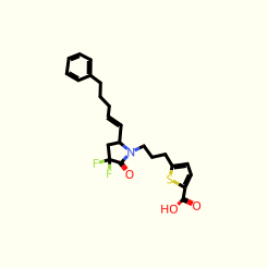 O=C(O)c1ccc(CCCN2C(=O)C(F)(F)CC2/C=C/CCCc2ccccc2)s1